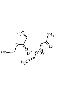 C=CC(=O)OCO.C=CC(=O)[O-].C=CC(N)=O.[Li+]